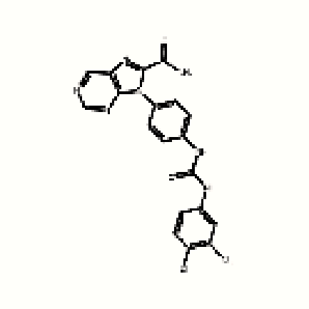 NC(=O)c1nc2[c]ncnc2n1-c1ccc(NC(=O)Nc2ccc(Cl)c(C(F)(F)F)c2)cc1